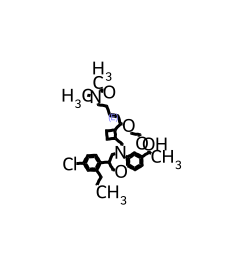 CCCc1cc(Cl)ccc1C1COc2ccc(C(C)O)cc2N(CC2CCC2C(/C=C/CCN(C)C(C)=O)OCC=O)C1